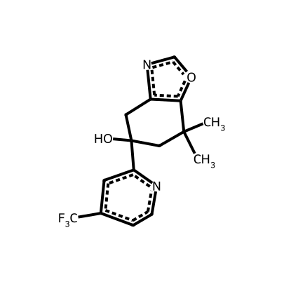 CC1(C)CC(O)(c2cc(C(F)(F)F)ccn2)Cc2ncoc21